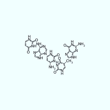 Cc1c[nH]c(=O)[nH]c1=O.Nc1cc[nH]c(=O)n1.Nc1nc2[nH]cnc2c(=O)[nH]1.Nc1ncnc2[nH]cnc12.O=c1cc[nH]c(=O)[nH]1